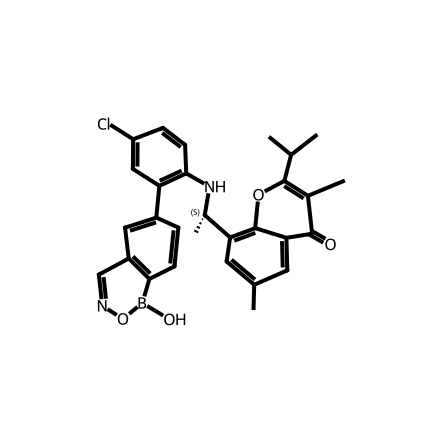 Cc1cc([C@H](C)Nc2ccc(Cl)cc2-c2ccc3c(c2)C=NOB3O)c2oc(C(C)C)c(C)c(=O)c2c1